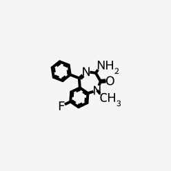 CN1C(=O)C(N)N=C(c2ccccc2)c2cc(F)ccc21